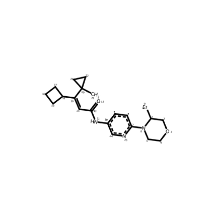 CCC1COCCN1c1ccc(NC(=O)/C=C(/C2CCC2)C2(C)CC2)cn1